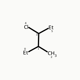 CCC(C)C(Cl)CC